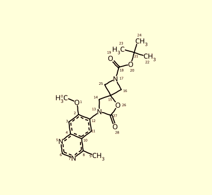 COc1cc2ncnc(C)c2cc1N1CC2(CN(C(=O)OC(C)(C)C)C2)OC1=O